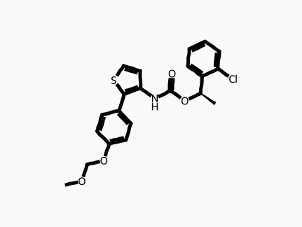 COCOc1ccc(-c2sccc2NC(=O)O[C@H](C)c2ccccc2Cl)cc1